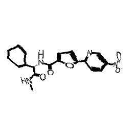 CNC(=O)[C@@H](NC(=O)c1ccc(-c2ccc([N+](=O)[O-])cn2)o1)C1CCCCC1